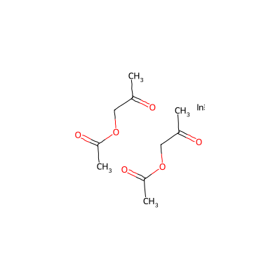 CC(=O)COC(C)=O.CC(=O)COC(C)=O.[In]